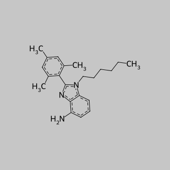 CCCCCCn1c(-c2c(C)cc(C)cc2C)nc2c(N)cccc21